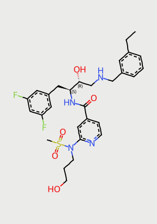 CCc1cccc(CNC[C@@H](O)[C@H](Cc2cc(F)cc(F)c2)NC(=O)c2ccnc(N(CCCO)S(C)(=O)=O)c2)c1